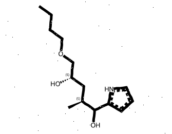 CCCCOC[C@@H](O)C[C@H](C)C(O)c1ccc[nH]1